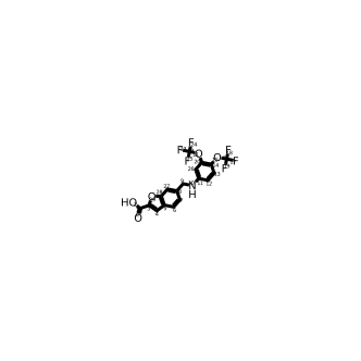 O=C(O)c1cc2ccc(CNc3ccc(OC(F)(F)F)c(OC(F)(F)F)c3)cc2o1